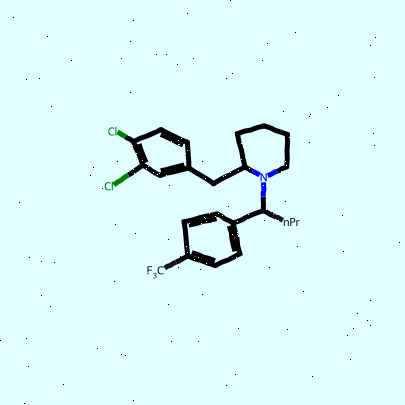 CCCC(c1ccc(C(F)(F)F)cc1)N1CCCCC1Cc1ccc(Cl)c(Cl)c1